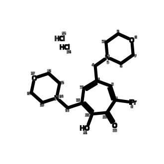 CC(C)c1cc(CN2CCOCC2)cc(CN2CCOCC2)c(O)c1=O.Cl.Cl